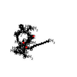 CCCCCCCCCCCCCCCC(=O)NCC(=O)N[C@H](C(=O)N[C@@H](CCC(N)=O)C(=O)N[C@@H](Cc1c[nH]cn1)C(=O)N[C@@H](CO)C(=O)N[C@@H](CCCC)C(=O)N[C@H]1CCC(=O)NCCCC[C@@H](C(N)=O)NC(=O)[C@H](Cc2c[nH]c3ccccc23)NC(=O)[C@H](CCCNC(=N)N)NC(=O)C(Cc2ccccc2)NC(=O)[C@@H]2CC(O)CN2C1=O)C(C)O